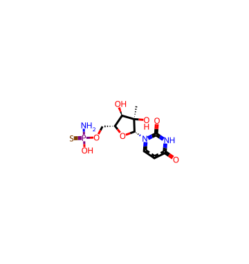 C[C@@]1(O)[C@H](O)[C@@H](COP(N)(O)=S)O[C@H]1n1ccc(=O)[nH]c1=O